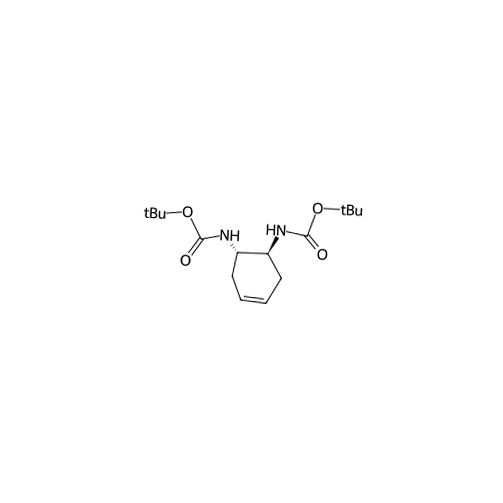 CC(C)(C)OC(=O)N[C@H]1CC=CC[C@@H]1NC(=O)OC(C)(C)C